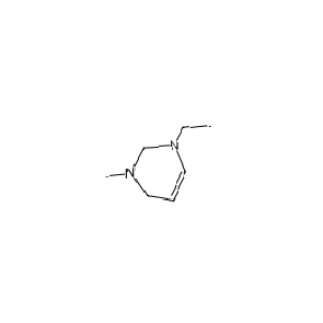 CCN1C=CCN(C)C1